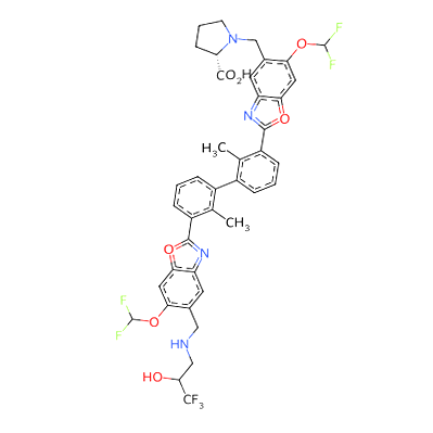 Cc1c(-c2nc3cc(CNCC(O)C(F)(F)F)c(OC(F)F)cc3o2)cccc1-c1cccc(-c2nc3cc(CN4CCC[C@H]4C(=O)O)c(OC(F)F)cc3o2)c1C